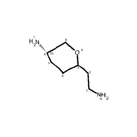 NCCC1CC[C@H](N)CO1